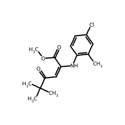 COC(=O)C(=CC(=O)C(C)(C)C)Nc1ccc(Cl)cc1C